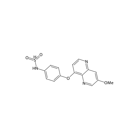 COc1cnc2c(Oc3ccc(N[SH](=O)=O)cc3)ccnc2c1